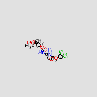 CC1(NC(=O)COc2ccc(Cl)c(Cl)c2)CC(NC(=O)COc2ccc(C(C)(C)O)cc2)C1